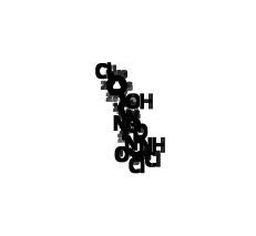 O=c1[nH]c(Cl)c(Cl)c(=O)n1Cc1nc(C[C@H](O)c2ccc(Cl)cc2)no1